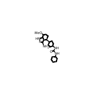 COc1ccc(-c2ccc(NC(=O)Nc3ccccc3)cc2)c2c(N)n[nH]c12